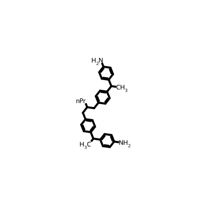 CCCC(Cc1ccc(C(C)c2ccc(N)cc2)cc1)Cc1ccc(C(C)c2ccc(N)cc2)cc1